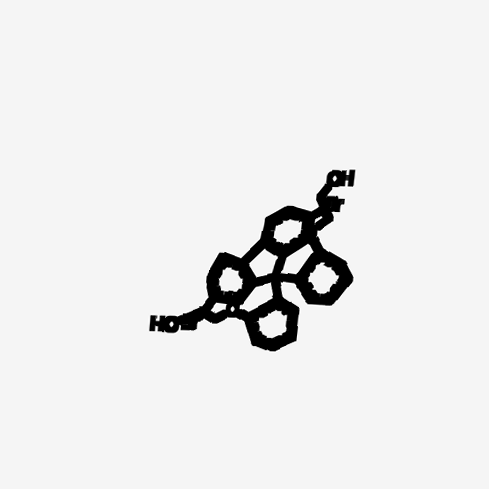 OCCOc1ccccc1C1(c2ccccc2OCCO)c2cc(Br)ccc2-c2ccc(Br)cc21